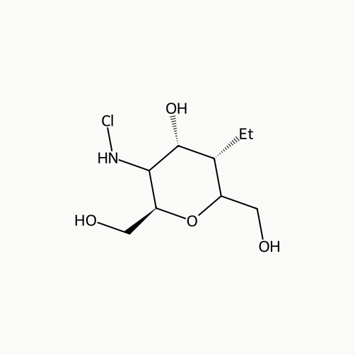 CC[C@@H]1C(CO)O[C@@H](CO)C(NCl)[C@@H]1O